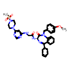 COc1ccc(CN2C(=O)[C@@H](NC(=O)CNc3cc(N4CCN(S(C)(=O)=O)CC4)ncn3)N=C(c3ccccc3)c3ccccc32)cc1